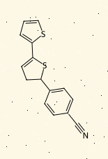 N#Cc1ccc(C2CC=C(c3cccs3)S2)cc1